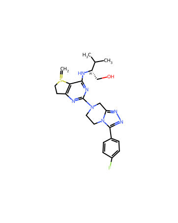 C=S1CCc2nc(N3CCn4c(nnc4-c4ccc(F)cc4)C3)nc(N[C@@H](CO)C(C)C)c21